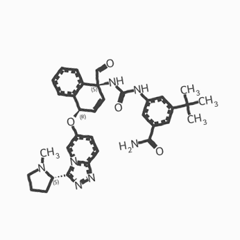 CN1CCC[C@H]1c1nnc2ccc(O[C@@H]3C=C[C@](C=O)(NC(=O)Nc4cc(C(N)=O)cc(C(C)(C)C)c4)c4ccccc43)cn12